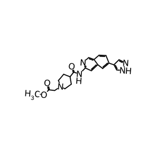 COC(=O)CN1CCC(C(=O)Nc2cc3cc(-c4cn[nH]c4)ccc3cn2)CC1